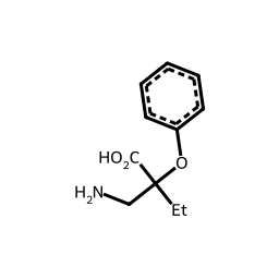 CCC(CN)(Oc1ccccc1)C(=O)O